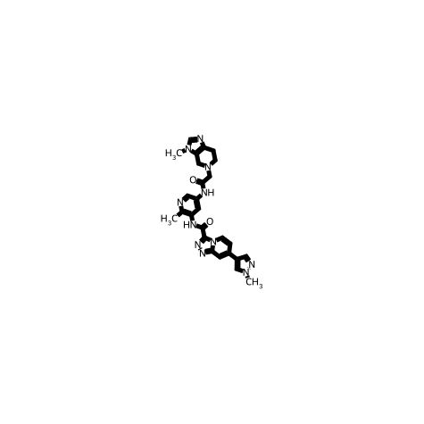 Cc1ncc(NC(=O)CN2CCc3ncn(C)c3C2)cc1NC(=O)c1nnc2cc(-c3cnn(C)c3)ccn12